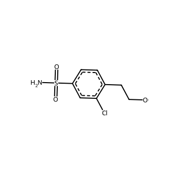 NS(=O)(=O)c1ccc(CC[O])c(Cl)c1